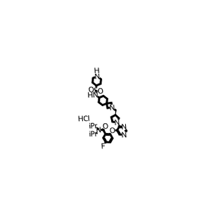 CC(C)N(C(=O)c1cc(F)ccc1Oc1cncnc1N1CC[C@@H](CN2CC3(CCC(NS(=O)(=O)C4CCNCC4)CC3)C2)C1)C(C)C.Cl